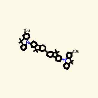 CC(C)(C)c1ccc2c(c1)C(C)(C)c1ccccc1N2c1ccc2c(c1)C(C)(C)C1=C2CCC(c2ccc3c(c2)C(C)(C)c2cc(N4c5ccccc5C(C)(C)c5cc(C(C)(C)C)ccc54)ccc2-3)=C1